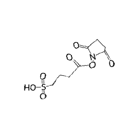 O=C(CCCS(=O)(=O)O)ON1C(=O)CCC1=O